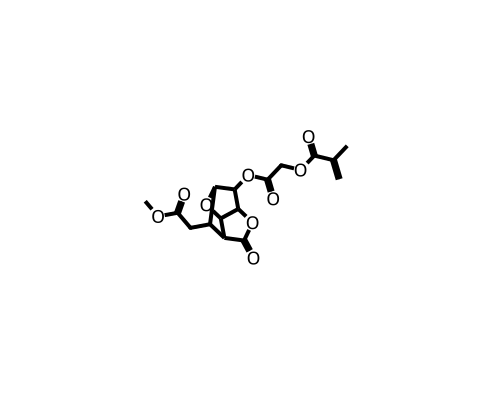 C=C(C)C(=O)OCC(=O)OC1C2OC3C1OC(=O)C3C2CC(=O)OC